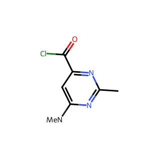 CNc1cc(C(=O)Cl)nc(C)n1